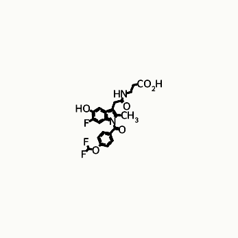 Cc1c(CC(=O)NCCC(=O)O)c2cc(O)c(F)cc2n1C(=O)c1ccc(OC(F)F)cc1